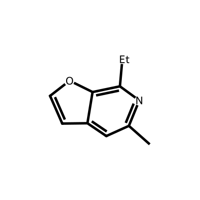 CCc1nc(C)cc2ccoc12